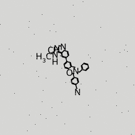 CC(C)Nc1ncnc2ccc(-c3cccc(CN(Cc4ccccc4)C(=O)c4ccc(C#N)cc4)c3)cc12